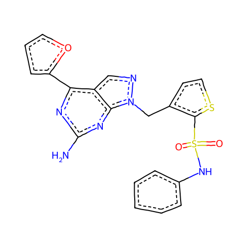 Nc1nc(-c2ccco2)c2cnn(Cc3ccsc3S(=O)(=O)Nc3ccccc3)c2n1